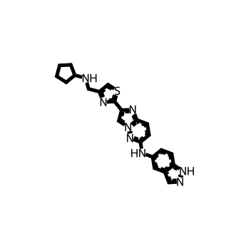 c1cc2[nH]ncc2cc1Nc1ccc2nc(-c3nc(CNC4CCCC4)cs3)cn2n1